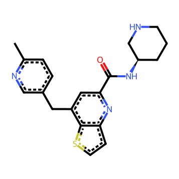 Cc1ccc(Cc2cc(C(=O)N[C@@H]3CCCNC3)nc3ccsc23)cn1